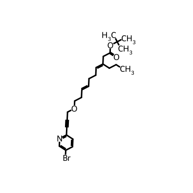 CCC/C(=C\CC/C=C/CCOCC#Cc1ccc(Br)cn1)CC(=O)OC(C)(C)C